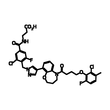 Cc1ccc(F)c(OCCCC(=O)N2CCCOc3c(-c4cnn(Cc5c(F)cc(C(=O)NCCC(=O)O)cc5Cl)c4)cccc32)c1Cl